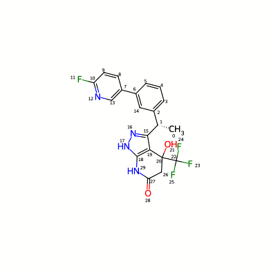 C[C@@H](c1cccc(-c2ccc(F)nc2)c1)c1n[nH]c2c1C(O)(C(F)(F)F)CC(=O)N2